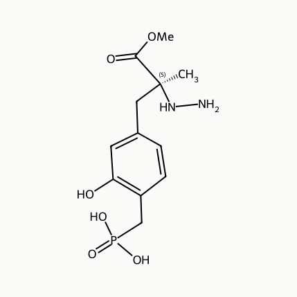 COC(=O)[C@](C)(Cc1ccc(CP(=O)(O)O)c(O)c1)NN